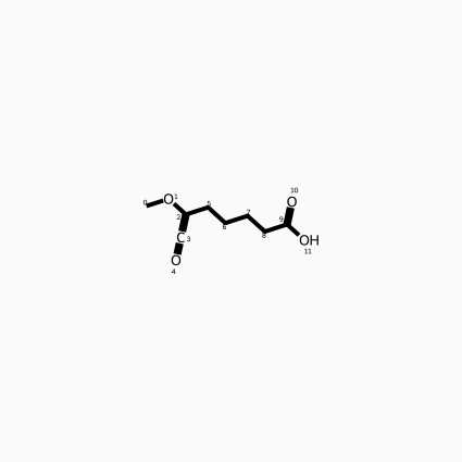 COC(=C=O)CCCCC(=O)O